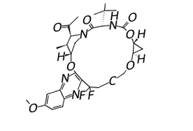 COc1ccc2nc3c(nc2c1)O[C@H]1CN(C(=O)[C@H](C(C)(C)C)NC(=O)O[C@@H]2C[C@H]2OCCCC3(F)F)[C@H](C(C)=O)[C@@H]1C